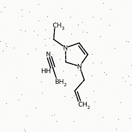 BC#N.C=CCN1C=CN(CC)C1.[HH]